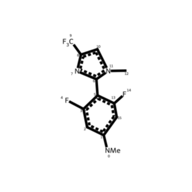 CNc1cc(F)c(-c2nc(C(F)(F)F)cn2C)c(F)c1